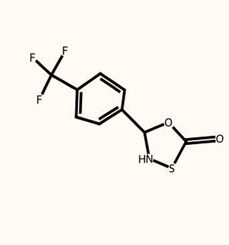 O=C1OC(c2ccc(C(F)(F)F)cc2)NS1